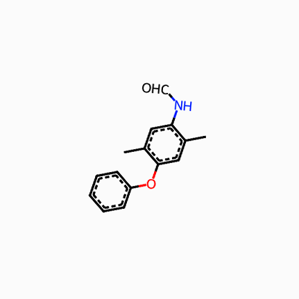 Cc1cc(Oc2ccccc2)c(C)cc1NC=O